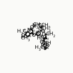 C=CC1C[C@]1(NC(=O)[C@@H]1C[C@@H](Oc2cc(OCC)nc3c(C)c(OC)ccc23)CN1C(=O)OC(C)(C)C)C(=O)NS(=O)(=O)C1(C)CC1